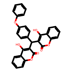 O=c1oc2ccccc2c(O)c1C(c1ccc(Oc2ccccc2)cc1)c1c(O)c2ccccc2oc1=O